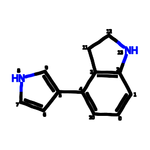 c1cc2c(c(-c3cc[nH]c3)c1)CCN2